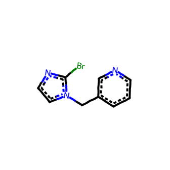 Brc1nccn1Cc1cccnc1